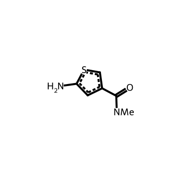 CNC(=O)c1csc(N)c1